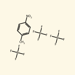 Cc1ccc([N+](=O)[O-])cc1.F[B-](F)(F)F.F[B-](F)(F)F.F[B-](F)(F)F